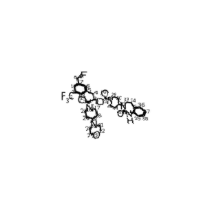 O=C(O[C@H](Cc1cc(CF)cc(C(F)(F)F)c1)C(=O)N1CCC(N2CCOCC2)CC1)N1CCC(N2CCc3ccccc3NC2=O)CC1